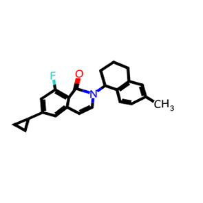 Cc1ccc2c(c1)CCCC2n1ccc2cc(C3CC3)cc(F)c2c1=O